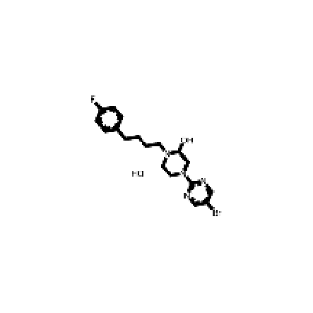 Cl.OC1CN(c2ncc(Br)cn2)CCN1CCCCc1ccc(F)cc1